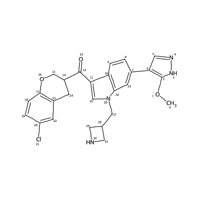 COc1[nH]ncc1-c1ccc2c(C(=O)C3COc4ccc(Cl)cc4C3)cn(CC3CNC3)c2c1